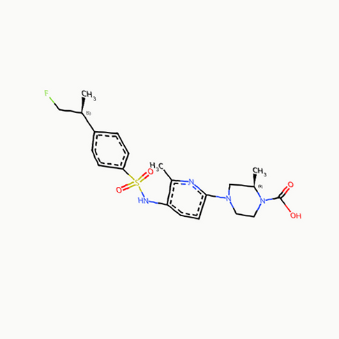 Cc1nc(N2CCN(C(=O)O)[C@H](C)C2)ccc1NS(=O)(=O)c1ccc([C@H](C)CF)cc1